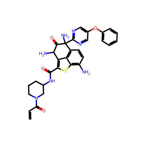 C=CC(=O)N1CCCC(NC(=O)c2sc3c(N)ccc4c3c2C(N)C(=O)C4(N)c2ncc(Oc3ccccc3)cn2)C1